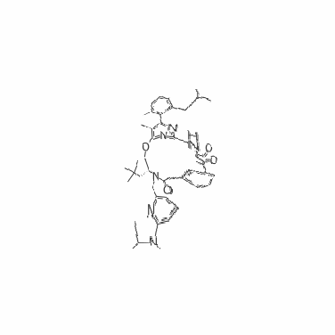 Cc1cccc(CC(C)C)c1-c1nc2nc(c1C)OC[C@@H](CC(C)(C)C)N(Cc1cccc(N(C)C(C)C)n1)C(=O)c1cccc(c1)S(=O)(=O)N2